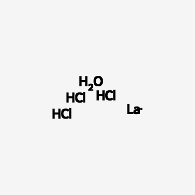 Cl.Cl.Cl.O.[La]